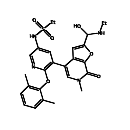 CCNC(O)c1cc2c(-c3cc(NS(=O)(=O)CC)cnc3Oc3c(C)cccc3C)cn(C)c(=O)c2o1